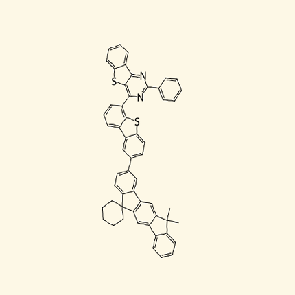 CC1(C)c2ccccc2-c2cc3c(cc21)-c1cc(-c2ccc4sc5c(-c6nc(-c7ccccc7)nc7c6sc6ccccc67)cccc5c4c2)ccc1C31CCCCC1